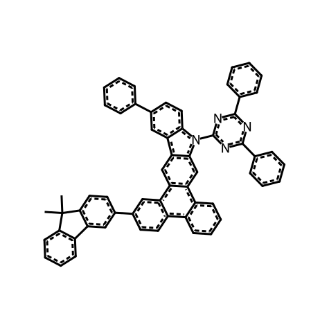 CC1(C)c2ccccc2-c2cc(-c3ccc4c5ccccc5c5cc6c(cc5c4c3)c3cc(-c4ccccc4)ccc3n6-c3nc(-c4ccccc4)nc(-c4ccccc4)n3)ccc21